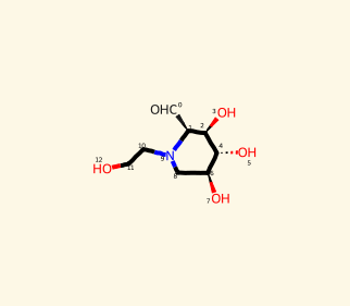 O=C[C@H]1[C@@H](O)[C@H](O)[C@@H](O)CN1CCO